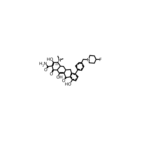 CN(C)[C@@H]1C(O)=C(C(N)=O)C(=O)C2C(O)=C3C(=O)c4c(O)ccc(-c5ccc(CN6CCC(F)CC6)cc5)c4CC3CC21